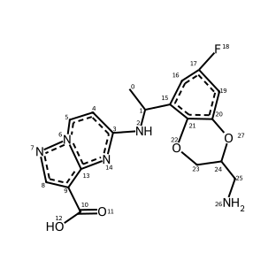 CC(Nc1ccn2ncc(C(=O)O)c2n1)c1cc(F)cc2c1OCC(CN)O2